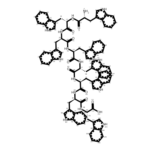 N[C@H](Cc1c[nH]c2ccccc12)C(=O)N[C@@H](Cc1c[nH]c2ccccc12)C(=O)N[C@H](Cc1c[nH]c2ccccc12)C(=O)N[C@@H](Cc1c[nH]c2ccccc12)C(=O)N[C@H](Cc1c[nH]c2ccccc12)C(=O)N[C@@H](Cc1c[nH]c2ccccc12)C(=O)N[C@H](Cc1c[nH]c2ccccc12)C(=O)N[C@@H](Cc1c[nH]c2ccccc12)C(=O)O